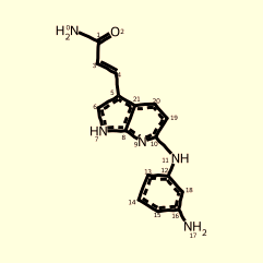 NC(=O)C=Cc1c[nH]c2nc(Nc3cccc(N)c3)ccc12